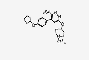 CCCCc1nnc(OC2CCN(C)CC2)cc1-c1ccc(OC2CCCC2)cc1